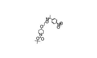 C/C(=N/OCCOC1CCN(C(=O)OC(C)(C)C)CC1)c1ccc([N+](=O)[O-])cc1